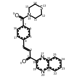 O=C(C=Cc1ccc(C(=O)N2CCSCC2)cc1)c1cnc2ccccc2n1